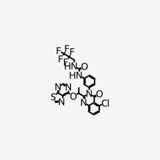 CC(Oc1ncnc2scnc12)c1nc2cccc(Cl)c2c(=O)n1-c1cccc(NC(=O)NCC(F)(F)C(F)(F)F)c1